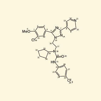 COc1ccc(-c2nc(-c3ccncc3)nn2CCN(C(=O)Nc2ccc(C(F)(F)F)cc2)C2CCCC2)cc1Cl